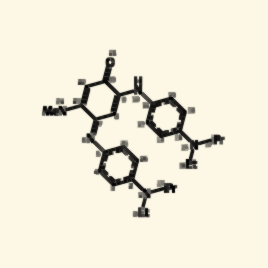 CCN(c1ccc(N=C2C=C(Nc3ccc(N(CC)C(C)C)cc3)C(=O)C=C2NC)cc1)C(C)C